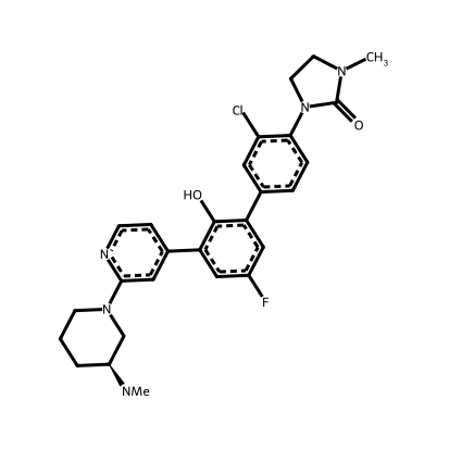 CN[C@H]1CCCN(c2cc(-c3cc(F)cc(-c4ccc(N5CCN(C)C5=O)c(Cl)c4)c3O)ccn2)C1